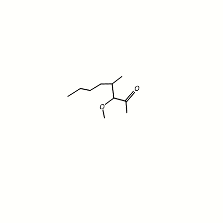 CCCCC(C)C(OC)C(C)=O